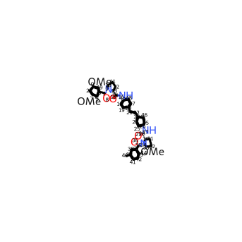 COc1ccc(OC)c(C(=O)N2CCC[C@H]2C(=O)Nc2ccc(/C=C/c3ccc(NC(=O)[C@@H]4CCCN4C(=O)c4cc(C)ccc4OC)cc3)cc2)c1